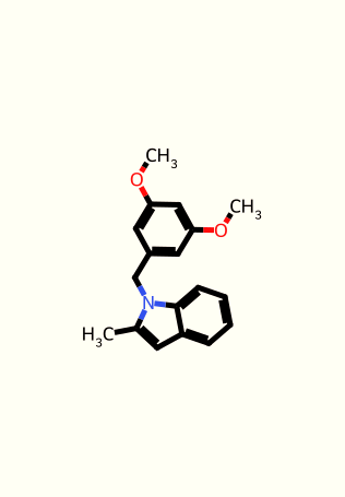 COc1cc(Cn2c(C)cc3ccccc32)cc(OC)c1